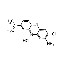 Cc1cc2nc3ccc([As](C)C)cc3nc2cc1N.Cl